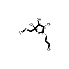 NOC[C@@]1(O)O[C@@H](CCCO)[C@@H](O)[C@@H]1O